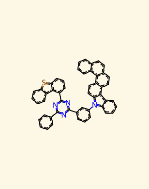 c1ccc(-c2nc(-c3cccc(-n4c5ccccc5c5c6ccc7ccc8ccccc8c7c6ccc54)c3)nc(-c3cccc4sc5ccccc5c34)n2)cc1